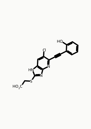 O=C(O)CSc1nc2nc(C#Cc3ccccc3O)c(Cl)cc2[nH]1